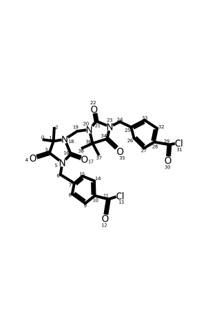 CC1(C)C(=O)N(Cc2ccc(C(=O)Cl)cc2)C(=O)N1CN1C(=O)N(Cc2ccc(C(=O)Cl)cc2)C(=O)C1(C)C